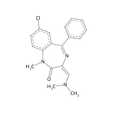 CN(C)C=C1N=C(c2ccccc2)c2cc(Cl)ccc2N(C)C1=O